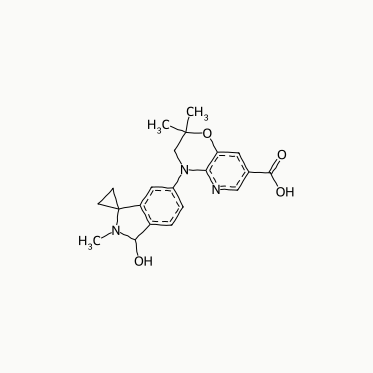 CN1C(O)c2ccc(N3CC(C)(C)Oc4cc(C(=O)O)cnc43)cc2C12CC2